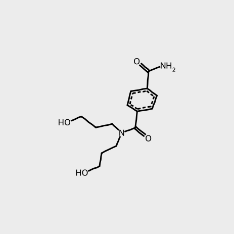 NC(=O)c1ccc(C(=O)N(CCCO)CCCO)cc1